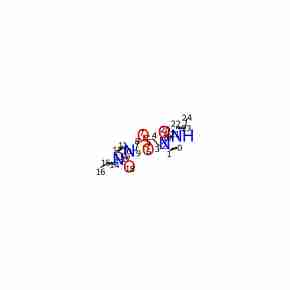 C=CN(CCS(=O)(=O)CCn1ccn(/C=C/C)c1=O)C(=O)N/C=C/C